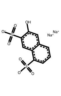 O=S(=O)([O-])c1cc2c(S(=O)(=O)[O-])cccc2cc1O.[Na+].[Na+]